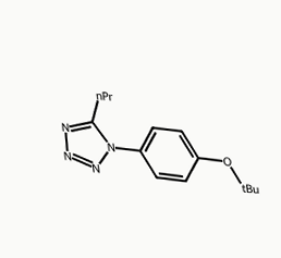 CCCc1nnnn1-c1ccc(OC(C)(C)C)cc1